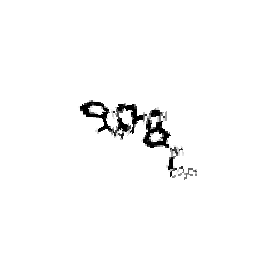 CCOC(=O)CNc1ccc2c(c1)ncn2-c1ccnc(NC(C)c2ccccc2)n1